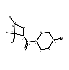 CCN1CCN(C(=O)[C@@H]2C[C@H](C)C2(C)C)CC1